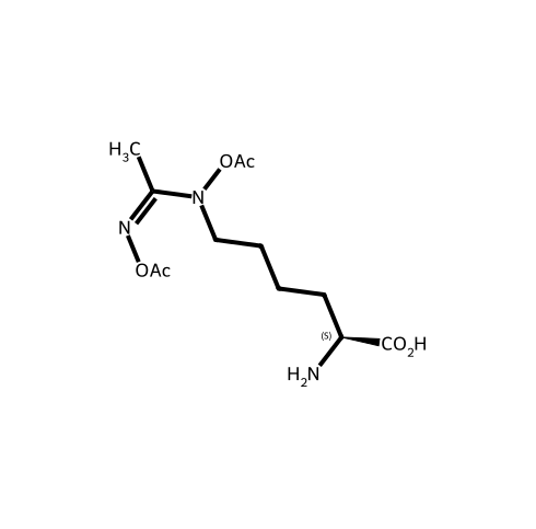 CC(=O)ON=C(C)N(CCCC[C@H](N)C(=O)O)OC(C)=O